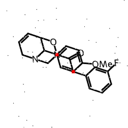 COc1ccc(C2C3C=CCN2CN(C(=O)Cc2cccc(F)c2)O3)cc1